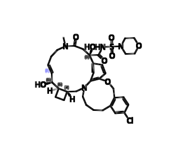 CN1CC/C=C/[C@H](O)[C@@H]2CC[C@H]2CN2CCCCc3cc(Cl)ccc3COc3ccc(cc32)[C@@](O)(C(=O)NS(=O)(=O)N2CCOCC2)CC1=O